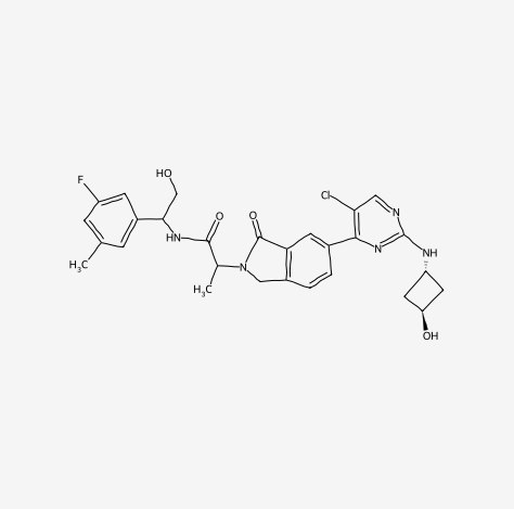 Cc1cc(F)cc(C(CO)NC(=O)C(C)N2Cc3ccc(-c4nc(N[C@H]5C[C@H](O)C5)ncc4Cl)cc3C2=O)c1